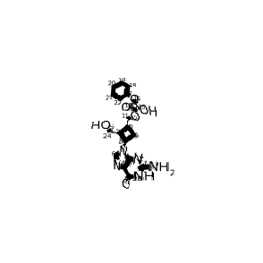 Nc1nc2c(ncn2[C@@H]2C[C@@H](COP(=O)(O)Oc3ccccc3)[C@H]2CO)c(=O)[nH]1